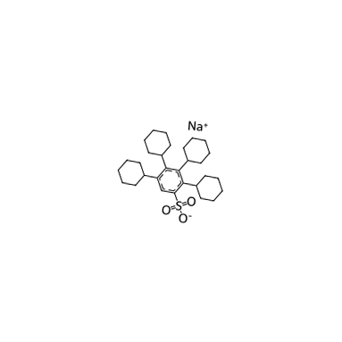 O=S(=O)([O-])c1cc(C2CCCCC2)c(C2CCCCC2)c(C2CCCCC2)c1C1CCCCC1.[Na+]